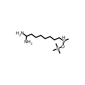 C[SiH](CCCCCCCC(N)N)O[Si](C)(C)C